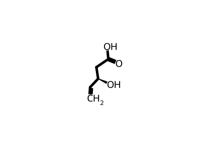 C=C[C@H](O)CC(=O)O